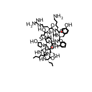 CCC[C@H](NC(=O)[C@@H](NC(=O)[C@@H]1C[C@@H](O)CN1C(=O)[C@@H]1CCCN1C(=O)[C@H](Cc1ccccc1)NC(=O)[C@H](Cc1ccc(O)cc1)NC(=O)[C@H](CCCCN)NC(=O)[C@H](CCCNC(=N)N)NC(=O)[C@@H](N)CS)[C@@H](C)CC)C(=O)N[C@@H](CS)C(=O)O